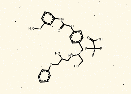 COc1cccc(NC(=O)Nc2ccc(C[C@@H](CO)NC[C@H](O)COc3ccccc3)cc2)c1.O=C(O)C(F)(F)F